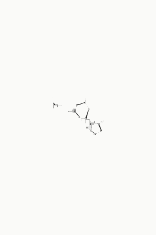 C=NOCc1cccc(-n2cccn2)c1